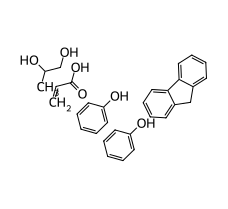 C=CC(=O)O.CC(O)CO.Oc1ccccc1.Oc1ccccc1.c1ccc2c(c1)Cc1ccccc1-2